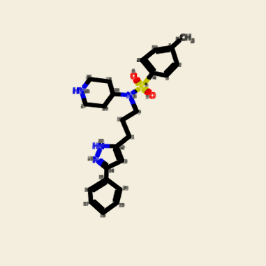 Cc1ccc(S(=O)(=O)N(CCCc2cc(-c3ccccc3)n[nH]2)C2CCNCC2)cc1